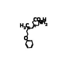 C[C@H](CCOc1ccccc1)C[C@H](CN)CC(=O)O